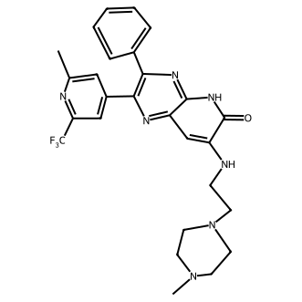 Cc1cc(-c2nc3cc(NCCN4CCN(C)CC4)c(=O)[nH]c3nc2-c2ccccc2)cc(C(F)(F)F)n1